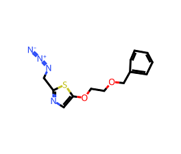 [N-]=[N+]=NCc1ncc(OCCOCc2ccccc2)s1